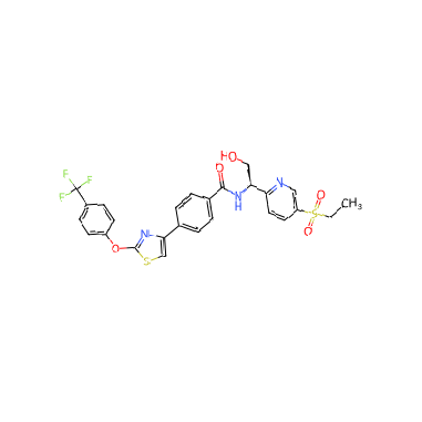 CCS(=O)(=O)c1ccc([C@H](CO)NC(=O)c2ccc(-c3csc(Oc4ccc(C(F)(F)F)cc4)n3)cc2)nc1